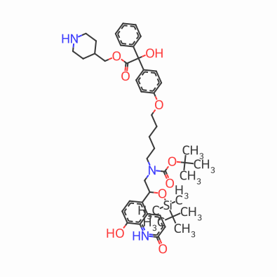 CC(C)(C)OC(=O)N(CCCCCOc1ccc(C(O)(C(=O)OCC2CCNCC2)c2ccccc2)cc1)CC(O[Si](C)(C)C(C)(C)C)c1ccc(O)c2[nH]c(=O)ccc12